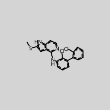 CSc1cc2c(Nc3cccc(-c4ccccc4Cl)c3Cl)nccc2[nH]1